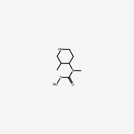 CC1CNCCC1N(C)C(=O)OC(C)(C)C